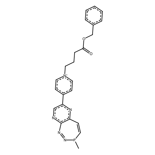 CP1C=Cc2nc(-c3cc[n+](CCCC(=O)OCc4ccccc4)cc3)cnc2N=N1